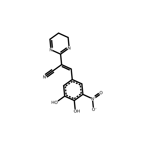 N#C/C(=C\c1cc(O)c(O)c([N+](=O)[O-])c1)C1=NCCC=N1